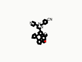 N#Cc1ccc(-c2nc(-c3ccncc3)cc(-c3ccc4c(c3)-c3ccccc3-c3ccccc3C43c4ccccc4-c4ccccc43)n2)cc1